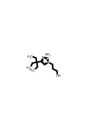 CCC(CC)(CC)c1cn(CCCO)nn1.N